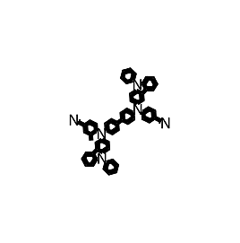 CC1C=C(C#N)C=CC1N(c1ccc(-c2ccc(N(c3ccc(C#N)cc3)c3ccc4c(c3)c3ccccc3n4C3=CC=CCC3)cc2)cc1)c1ccc2c(c1)c1ccccc1n2-c1ccccc1